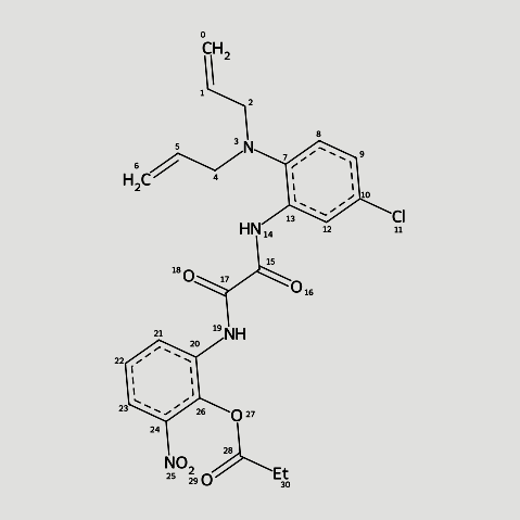 C=CCN(CC=C)c1ccc(Cl)cc1NC(=O)C(=O)Nc1cccc([N+](=O)[O-])c1OC(=O)CC